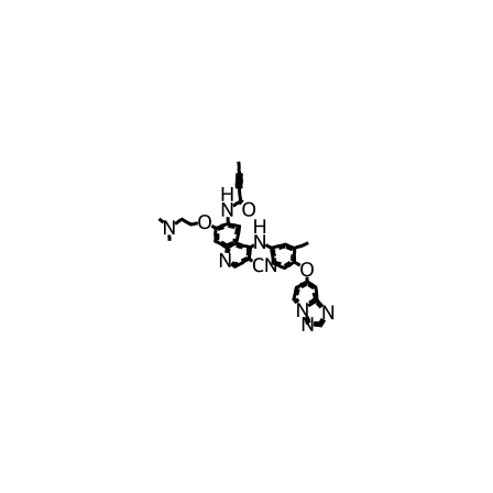 CC#CC(=O)Nc1cc2c(Nc3ccc(Oc4ccn5ncnc5c4)c(C)c3)c(C#N)cnc2cc1OCCN(C)C